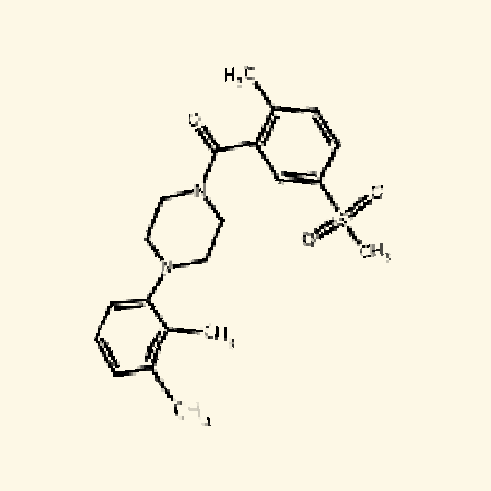 Cc1ccc(S(C)(=O)=O)cc1C(=O)N1CCN(c2cccc(C)c2C)CC1